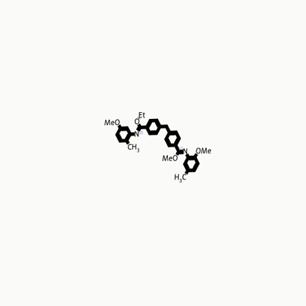 CCO/C(=N\c1cc(OC)ccc1C)c1ccc(Cc2ccc(/C(=N/c3cc(C)ccc3OC)OC)cc2)cc1